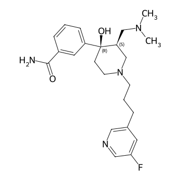 CN(C)C[C@H]1CN(CCCc2cncc(F)c2)CC[C@]1(O)c1cccc(C(N)=O)c1